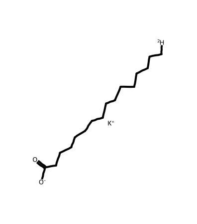 [2H]CCCCCCCCCCCCCCCC(=O)[O-].[K+]